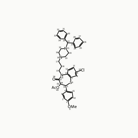 COc1ccc([C@@H]2Sc3cc(Cl)ccc3N(CCCN3CCN(C(c4ccccc4)c4ccccc4)CC3)C(=O)[C@@H]2OC(C)=O)cc1